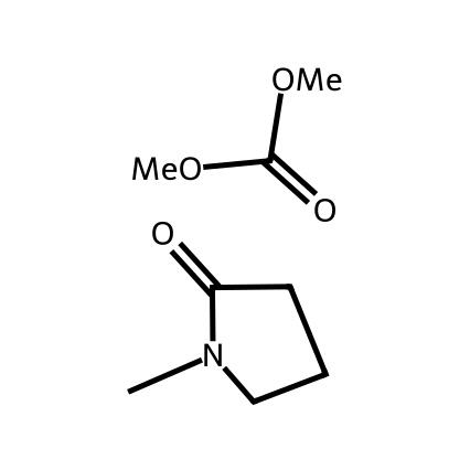 CN1CCCC1=O.COC(=O)OC